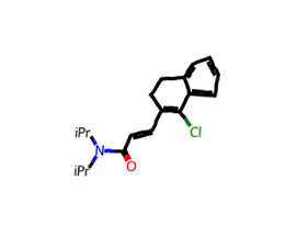 CC(C)N(C(=O)C=CC1=C(Cl)c2ccccc2CC1)C(C)C